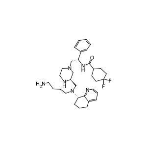 NCCCCN(C[C@@H]1CN(C[C@@H](NC(=O)C2CCC(F)(F)CC2)c2ccccc2)CCN1)[C@H]1CCCc2cccnc21